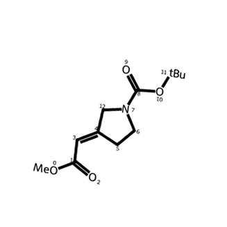 COC(=O)/C=C1\CCN(C(=O)OC(C)(C)C)C1